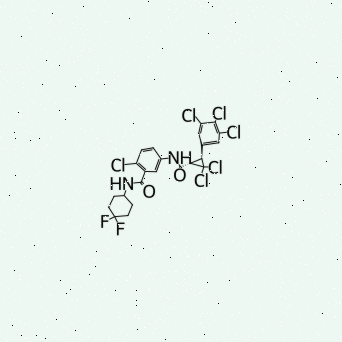 O=C(NC1CCC(F)(F)CC1)c1cc(NC(=O)[C@@H]2[C@@H](c3cc(Cl)c(Cl)c(Cl)c3)C2(Cl)Cl)ccc1Cl